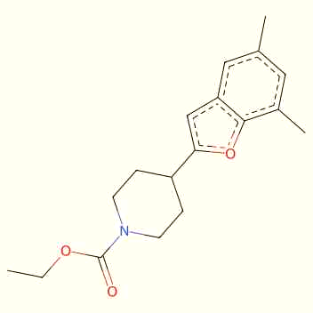 CCOC(=O)N1CCC(c2cc3cc(C)cc(C)c3o2)CC1